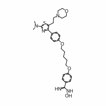 CN(C)c1nc(-c2ccc(OCCCCCOc3ccc(C(=N)NO)cc3)cc2)c(CCN2CCOCC2)s1